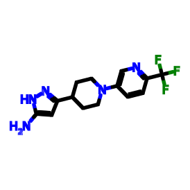 Nc1cc(C2CCN(c3ccc(C(F)(F)F)nc3)CC2)n[nH]1